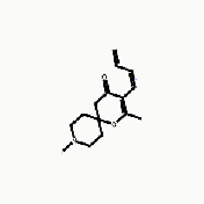 C=C/C=C\C1=C(C)OC2(CCN(I)CC2)CC1=O